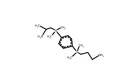 CC(N)C[Si](C)(C)c1ccc([Si](C)(C)CCCN)cc1